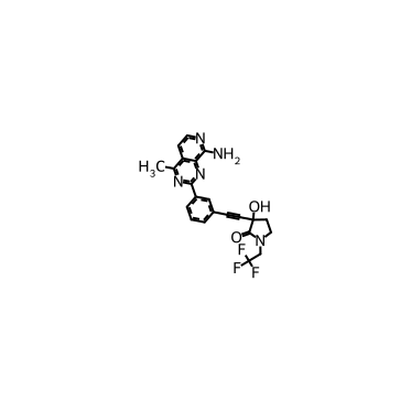 Cc1nc(-c2cccc(C#CC3(O)CCN(CC(F)(F)F)C3=O)c2)nc2c(N)nccc12